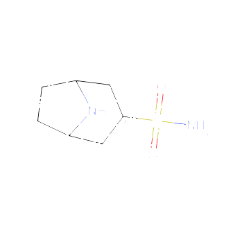 NS(=O)(=O)C1CC2CCC(C1)N2